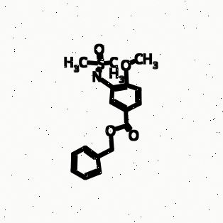 COc1ccc(C(=O)OCc2ccccc2)cc1N=S(C)(C)=O